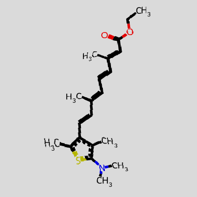 CCOC(=O)/C=C(C)/C=C/C=C(C)/C=C/c1c(C)sc(N(C)C)c1C